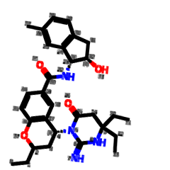 CCC1C[C@@H](N2C(=N)NC(CC)(CC)CC2=O)c2cc(C(=O)N[C@@H]3c4cc(C)ccc4C[C@H]3O)ccc2O1